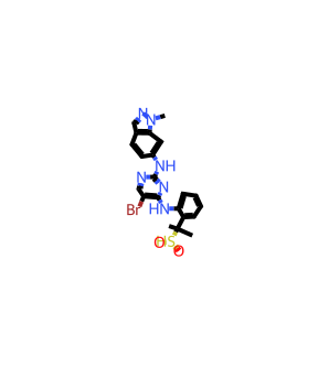 Cn1ncc2ccc(Nc3ncc(Br)c(Nc4ccccc4C(C)(C)[SH](=O)=O)n3)cc21